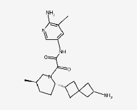 Cc1cc(NC(=O)C(=O)N2C[C@H](C)CC[C@H]2C2CC3(CC(N)C3)C2)cnc1N